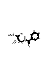 COC(=O)[C@H](CNC(=O)c1ccccc1)C(C)=O